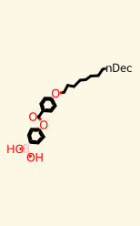 CCCCCCCCCCCCCCCCCCOc1ccc(C(=O)Oc2ccc(B(O)O)cc2)cc1